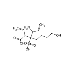 C=CC(N)C(CCCCO)(C(C=C)C(=O)O)S(=O)(=O)O